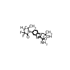 CC(C)N(C(=O)C(F)(F)F)c1ccc2c(c1)nc(C(N)=O)n2CC(C)(C)O